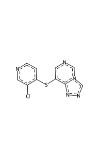 Clc1cnccc1Sc1cncn2cnnc12